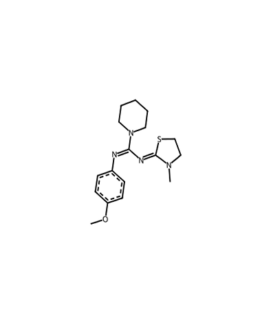 COc1ccc(N=C(N=C2SCCN2C)N2CCCCC2)cc1